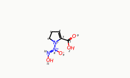 O=C(O)C1=CCCN1[N+]([O-])=NO